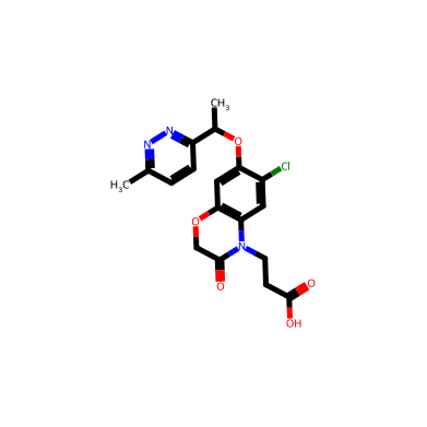 Cc1ccc(C(C)Oc2cc3c(cc2Cl)N(CCC(=O)O)C(=O)CO3)nn1